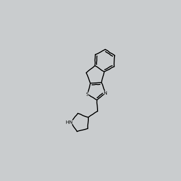 c1ccc2c(c1)Cc1sc(CC3CCNC3)nc1-2